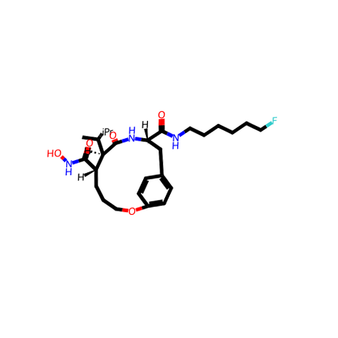 CC(C)C(C)[C@H]1C(=O)N[C@H](C(=O)NCCCCCCF)Cc2ccc(cc2)OCCC[C@@H]1C(=O)NO